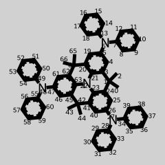 CC1(C)c2cc(N(c3ccccc3)c3ccccc3)cc3c2N2c4c1cc(N(c1ccccc1)c1ccccc1)cc4C(C)(C)c1cc(N(c4ccccc4)c4ccccc4)cc(c12)C3(C)C